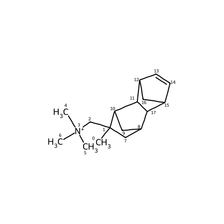 CC1(C[N+](C)(C)C)CC2CC1C1C3C=CC(C3)C21